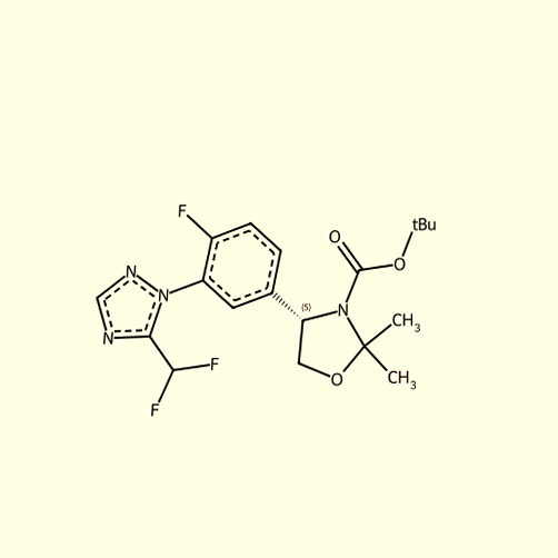 CC(C)(C)OC(=O)N1[C@@H](c2ccc(F)c(-n3ncnc3C(F)F)c2)COC1(C)C